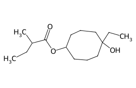 CCC(C)C(=O)OC1CCCC(O)(CC)CCC1